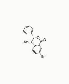 CC(=O)[C@@H]1c2ccc(Br)cc2C(=O)O[C@H]1c1ccccc1